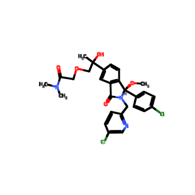 CO[C@]1(c2ccc(Cl)cc2)c2ccc(C(C)(O)COCC(=O)N(C)C)cc2C(=O)N1Cc1ccc(Cl)cn1